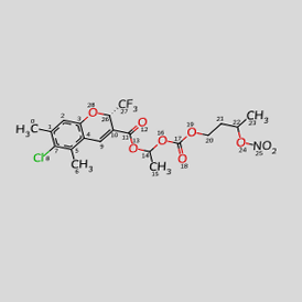 Cc1cc2c(c(C)c1Cl)C=C(C(=O)OC(C)OC(=O)OCCC(C)O[N+](=O)[O-])[C@@H](C(F)(F)F)O2